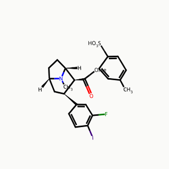 COC(=O)[C@H]1[C@@H](c2ccc(I)c(F)c2)C[C@@H]2CC[C@H]1N2C.Cc1ccc(S(=O)(=O)O)cc1